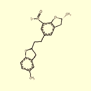 Cc1ccc2c(c1)CC(CCc1cc3c(c([N+](=O)[O-])c1)O[C@H](C)C3)O2